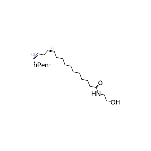 CCCCC/C=C\C/C=C\CCCCCCCCCC(=O)NCCO